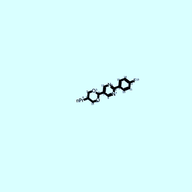 CCCC1COC(c2cnc(-c3ccc(F)cc3)nc2)OC1